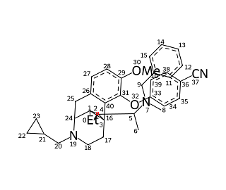 CCC12CCC(C(C)N(C)Cc3ccccc3)C13CCN(CC1CC1)C2Cc1ccc(OC)c(Oc2ccc(C#N)cc2)c13